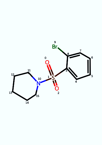 O=S(=O)(c1ccccc1Br)N1[CH]CCCC1